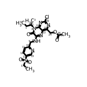 CC[C@@H](C)n1c(=O)c(NCc2ccc(S(=O)(=O)CC)cn2)nc2c(COC(C)=O)nc(Cl)nc21